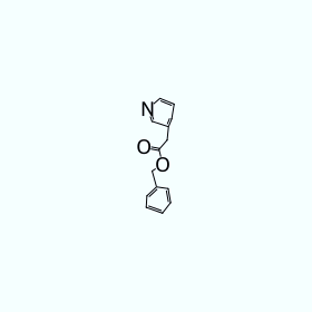 O=C(Cc1cccnc1)OCc1ccccc1